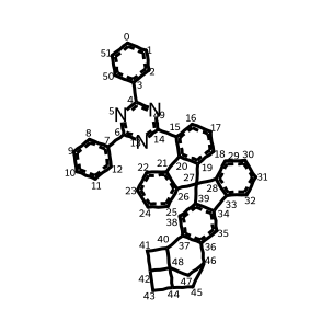 c1ccc(-c2nc(-c3ccccc3)nc(-c3cccc4c3-c3ccccc3C43c4ccccc4-c4cc5c(cc43)C3CC4CC6CC5CC643)n2)cc1